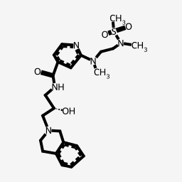 CN(CCN(C)S(C)(=O)=O)c1cc(C(=O)NC[C@H](O)CN2CCc3ccccc3C2)ccn1